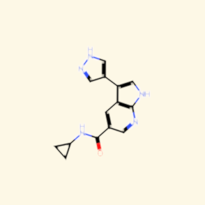 O=C(NC1CC1)c1cnc2[nH]cc(-c3cn[nH]c3)c2c1